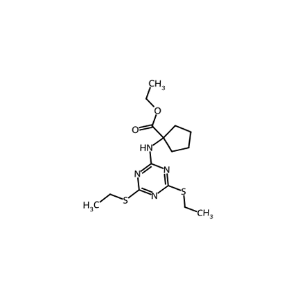 CCOC(=O)C1(Nc2nc(SCC)nc(SCC)n2)CCCC1